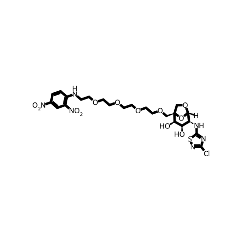 O=[N+]([O-])c1ccc(NCCOCCOCCOCCOC[C@@]23CO[C@@H](O2)[C@H](Nc2nc(Cl)ns2)[C@@H](O)[C@H]3O)c([N+](=O)[O-])c1